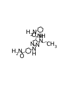 CCCNc1nc(Nc2ccc(C(N)=O)cc2)ncc1C(=O)Nc1ccccc1N